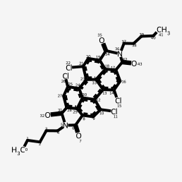 CCCCCN1C(=O)c2cc(Cl)c3c4c(Cl)cc5c6c(cc(Cl)c(c7c(Cl)cc(c2c37)C1=O)c64)C(=O)N(CCCCC)C5=O